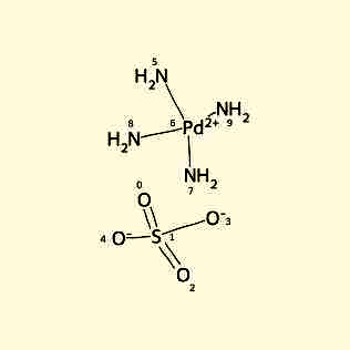 O=S(=O)([O-])[O-].[NH2][Pd+2]([NH2])([NH2])[NH2]